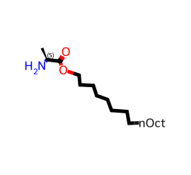 CCCCCCCCCCCCCCCCOC(=O)[C@H](C)N